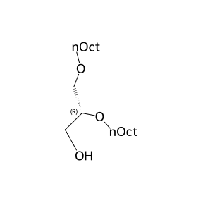 CCCCCCCCOC[C@@H](CO)OCCCCCCCC